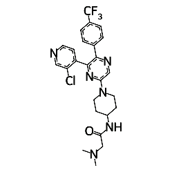 CN(C)CC(=O)NC1CCN(c2cnc(-c3ccc(C(F)(F)F)cc3)c(-c3ccncc3Cl)n2)CC1